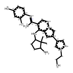 CC1(C)C(N)CCC1Nc1c(/C(N)=N/c2ccc(O)cc2Cl)cnn2cc(-c3cnn(CCO)c3)cc12